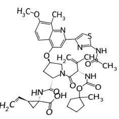 C=C[C@@H]1C[C@]1(NC(=O)[C@@H]1C[C@@H](Oc2cc(-c3csc(NC(C)=O)n3)nc3c(C)c(OC)ccc23)CN1C(=O)[C@@H](NC(=O)OC1(C)CCCC1)C(=C)C)C(=O)O